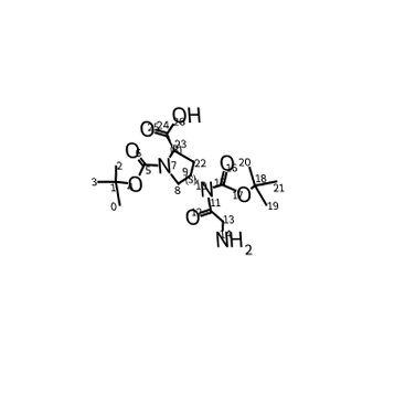 CC(C)(C)OC(=O)N1C[C@@H](N(C(=O)CN)C(=O)OC(C)(C)C)C[C@@H]1C(=O)O